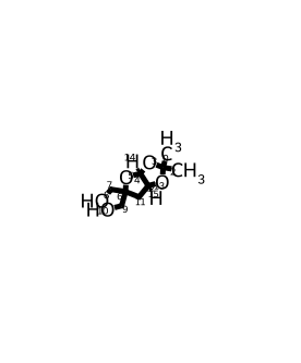 CC1(C)O[C@H]2OC(CO)(CO)C[C@H]2O1